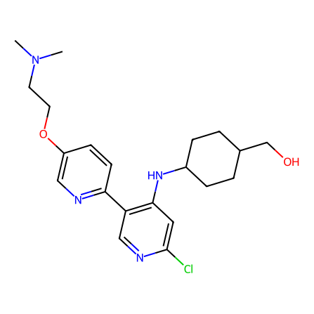 CN(C)CCOc1ccc(-c2cnc(Cl)cc2NC2CCC(CO)CC2)nc1